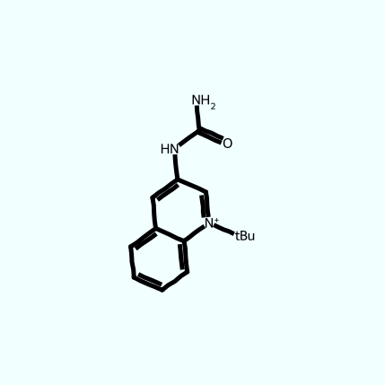 CC(C)(C)[n+]1cc(NC(N)=O)cc2ccccc21